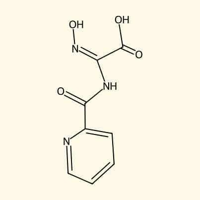 O=C(O)C(=NO)NC(=O)c1ccccn1